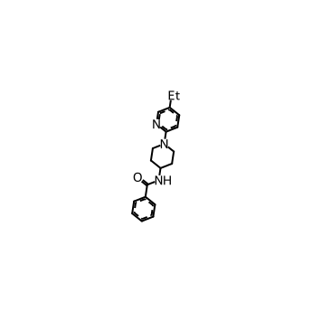 CCc1ccc(N2CCC(NC(=O)c3ccccc3)CC2)nc1